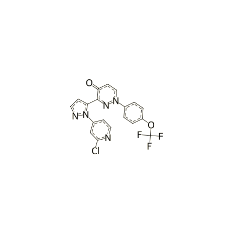 O=c1ccn(-c2ccc(OC(F)(F)F)cc2)nc1-c1ccnn1-c1ccnc(Cl)c1